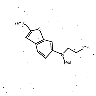 CCCCN(CCO)c1ccc2cc(C(=O)O)sc2c1